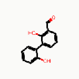 O=Cc1cccc(-c2ccccc2O)c1O